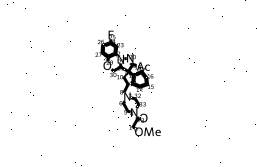 COCC(=O)N1CCN(CCC[C@]2(c3ccccc3)C(C(C)=O)=NN3c4cc(F)ccc4OCC32)CC1